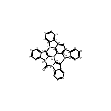 O=c1n2c3ccccc3c3c2n2c4c(c5ccccc5n14)B1c4ccccc4-c4cc5c(c-2c41)B3c1ccccc1-5